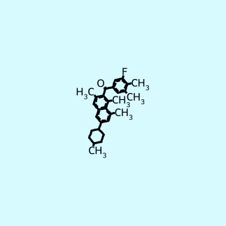 Cc1cc(C(=O)c2c(C)cc3cc(C4CCC(C)CC4)cc(C)c3c2C)cc(F)c1C